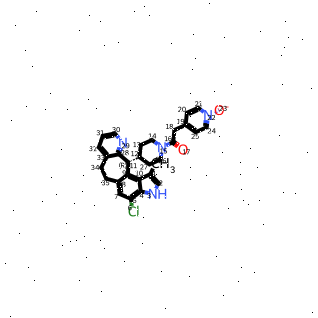 Cc1c[nH]c2c(Cl)cc3c(c12)[C@@H](C1CCN(C(=O)Cc2cc[n+]([O-])cc2)CC1)c1ncccc1CC3